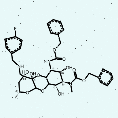 C[C@@H]1C[C@@](O)(CNCc2ccc(F)cc2)[C@]2(O)OC3C(OC2O1)[C@@H](O)[C@H](N(C)C(=O)OCc1ccccc1)[C@H](O)[C@@H]3NC(=O)OCc1ccccc1